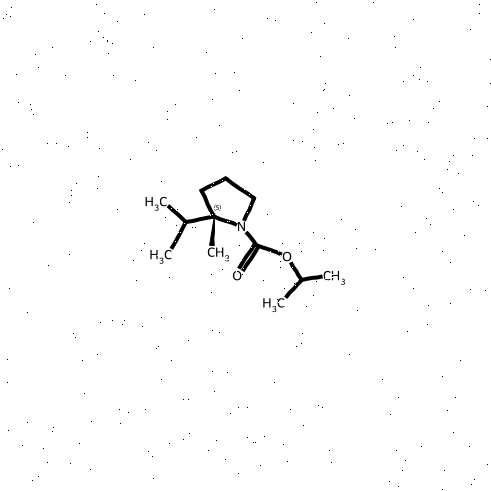 CC(C)OC(=O)N1CCC[C@@]1(C)C(C)C